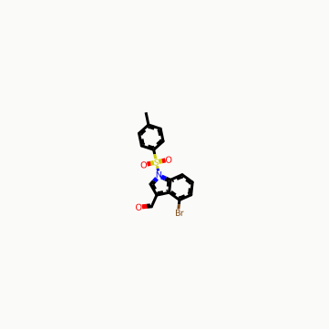 Cc1ccc(S(=O)(=O)n2cc(C=O)c3c(Br)cccc32)cc1